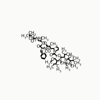 CC[C@H](C)C([C@@H](CC(=O)N1CCC[C@H]1[C@H](OC)[C@@H](C)C(=O)N[C@@H](Cc1ccccc1)C(=O)OC(C)CNC(=O)OC(C)(C)C)OC)N(C)C(=O)[C@@H](NC(=O)C(C(C)C)N(C)C)C(C)C